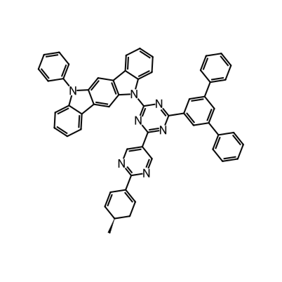 C[C@H]1C=CC(c2ncc(-c3nc(-c4cc(-c5ccccc5)cc(-c5ccccc5)c4)nc(-n4c5ccccc5c5cc6c(cc54)c4ccccc4n6-c4ccccc4)n3)cn2)=CC1